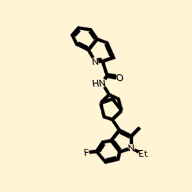 CCn1c(C)c(C2CC3CC2CC3NC(=O)c2ccc3ccccc3n2)c2cc(F)ccc21